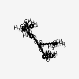 CC1=C(C)C2C(c3ccc(Cl)cc3)=N[C@@H](CC(=O)Nc3ccc(OCCOCCN(CCOCCNc4cccc5c4C(=O)N(C4CCC(=O)NC4=O)C5=O)C(=O)OCCCCCCCC(=O)OC(C)(C)C)cc3)c3nnc(C)n3C2S1